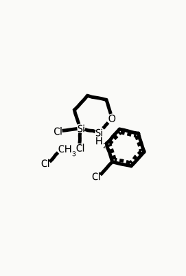 CCl.Cl[Si]1(Cl)CCCO[SiH2]1.Clc1ccccc1